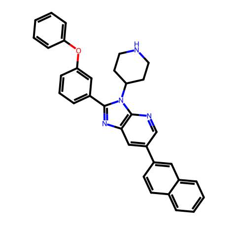 c1ccc(Oc2cccc(-c3nc4cc(-c5ccc6ccccc6c5)cnc4n3C3CCNCC3)c2)cc1